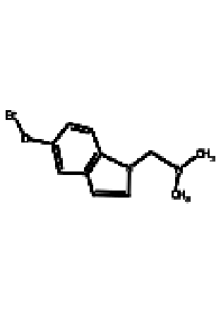 CCOc1ccc2c(ccn2CN(C)C)c1